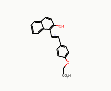 O=C(O)COc1ccc(/C=C/c2c(O)ccc3ccccc23)cc1